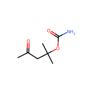 CC(=O)CC(C)(C)OC(N)=O